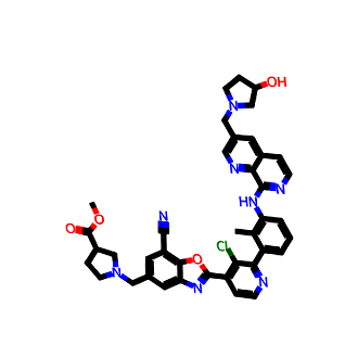 COC(=O)C1CCN(Cc2cc(C#N)c3oc(-c4ccnc(-c5cccc(Nc6nccc7cc(CN8CCC(O)C8)cnc67)c5C)c4Cl)nc3c2)C1